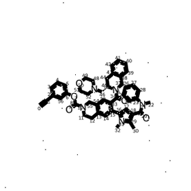 C#Cc1cccc(OC(=O)N2CCc3cc(-c4cc(C(=O)N(C)c5ccccc5)c(C)n4C)c(C(=O)N4Cc5ccccc5C[C@H]4CN4CCOCC4)cc3C2)c1